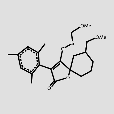 COCSOC1=C(c2c(C)cc(C)cc2C)C(=O)OC12CCCC(COC)C2